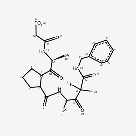 CC(C)C(NC(=O)C1CCCN1C(=O)[C@@H](NC(=O)CC(=O)O)C(C)C)C(=O)C(F)(F)C(=O)NCc1ccccc1